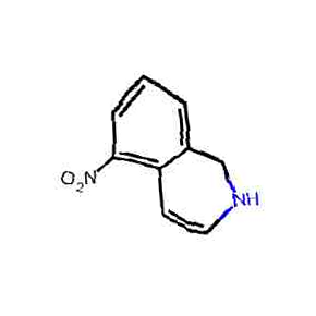 O=[N+]([O-])c1cccc2c1C=CNC2